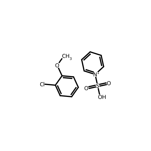 COc1ccccc1Cl.O=S(=O)(O)[n+]1ccccc1